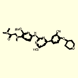 COc1nc(Nc2nccc(-c3ccc(OC4CCOCC4)c(C#N)c3)n2)ccc1N(C)CC(=O)N(C)C.Cl